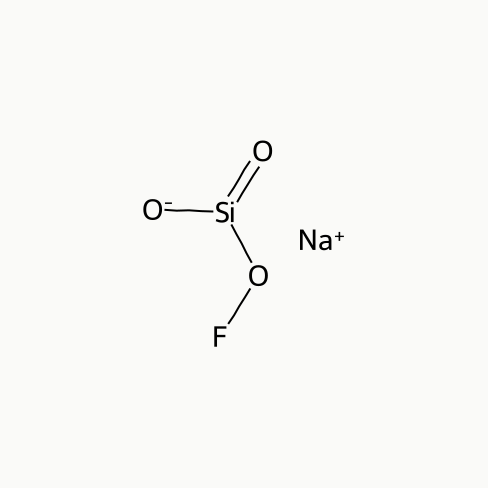 O=[Si]([O-])OF.[Na+]